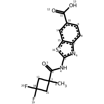 CC1(C(=O)Nc2nc3ccc(C(=O)O)cc3s2)CC(F)(F)C1